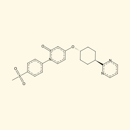 CS(=O)(=O)c1ccc(-n2ccc(O[C@H]3CC[C@H](c4ncccn4)CC3)cc2=O)cc1